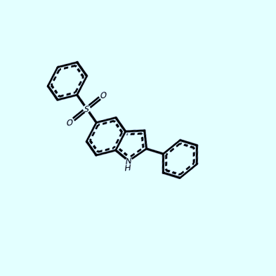 O=S(=O)(c1ccccc1)c1ccc2[nH]c(-c3ccccc3)cc2c1